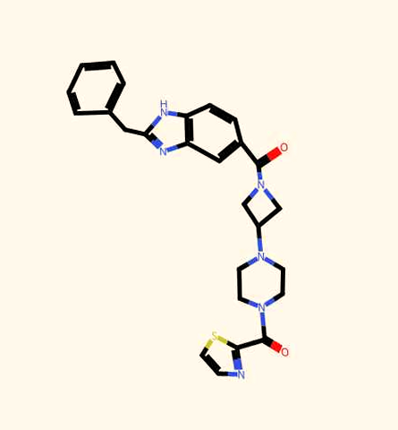 O=C(c1ccc2[nH]c(Cc3ccccc3)nc2c1)N1CC(N2CCN(C(=O)c3nccs3)CC2)C1